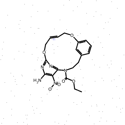 CCOC(=O)N1CCc2cccc(c2)OC/C=C/COc2nc(N)c([N+](=O)[O-])c1n2